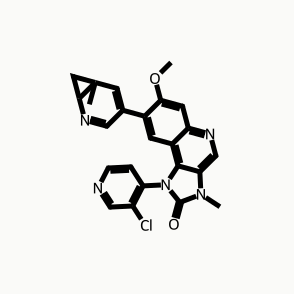 COc1cc2ncc3c(c2cc1C1=CC2(C)CC2N=C1)n(-c1ccncc1Cl)c(=O)n3C